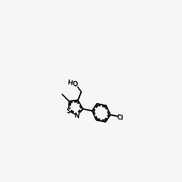 Cc1snc(-c2ccc(Cl)cc2)c1CO